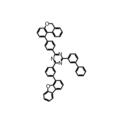 c1ccc(-c2cccc(-c3nc(-c4ccc(-c5cccc6c5-c5ccccc5CO6)cc4)nc(-c4cccc(-c5cccc6c5oc5ccccc56)c4)n3)c2)cc1